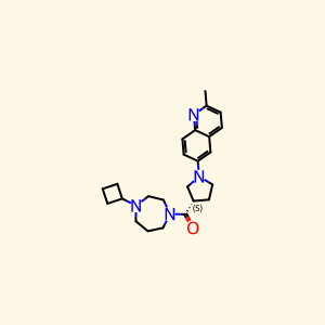 Cc1ccc2cc(N3CC[C@H](C(=O)N4CCCN(C5CCC5)CC4)C3)ccc2n1